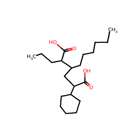 CCCCCCC(CC(C(=O)O)C1CCCCC1)C(CCC)C(=O)O